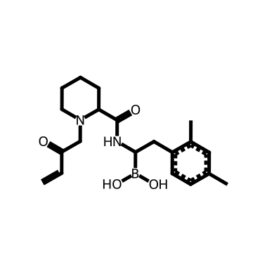 C=CC(=O)CN1CCCCC1C(=O)NC(Cc1ccc(C)cc1C)B(O)O